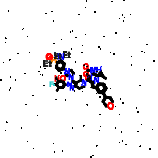 CCNc1cc(N2C=CN(c3c4c(nn3-c3cc(C)c(F)c(C)c3)CCN(C(=O)c3cc5cc(C6CCOCC6)ccc5n3C3(c5noc(=O)[nH]5)CC3C)C4C)C2O)ccc1P(=O)(CC)CC